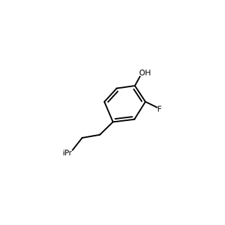 CC(C)CCc1ccc(O)c(F)c1